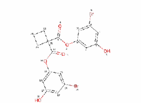 O=C(Oc1cc(O)cc(Br)c1)C1(C(=O)Oc2cc(O)cc(Br)c2)CCC1